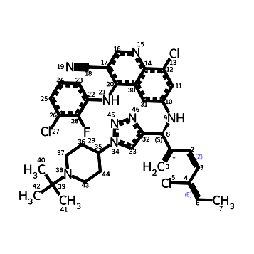 C=C(/C=C\C(Cl)=C/C)[C@H](Nc1cc(Cl)c2ncc(C#N)c(Nc3cccc(Cl)c3F)c2c1)c1cn(C2CCN(C(C)(C)C)CC2)nn1